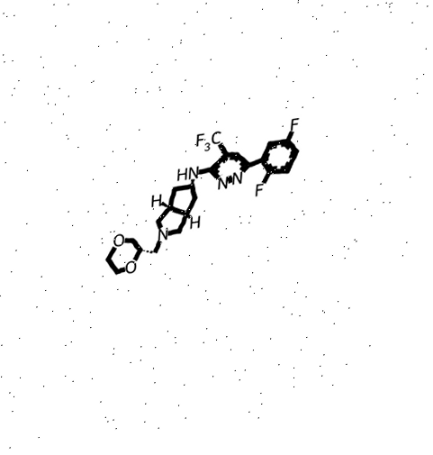 Fc1ccc(F)c(-c2cc(C(F)(F)F)c(N[C@H]3C[C@@H]4CN(C[C@H]5COCCO5)C[C@@H]4C3)nn2)c1